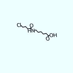 O=C(O)CCCCCNC(=O)CCCCl